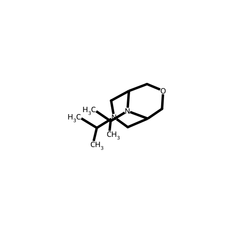 CC(C)N1CC2COCC(C1)N2C(C)C